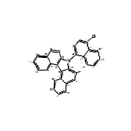 Brc1ccc(-n2c3ccc4ccccc4c3c3c4ccccc4ccc32)c2ccccc12